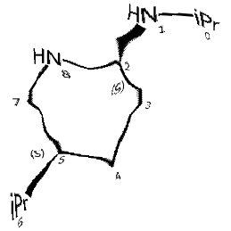 CC(C)N[C@H]1CC[C@@H](C(C)C)CN1